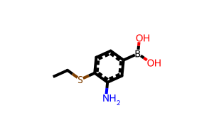 CCSc1ccc(B(O)O)cc1N